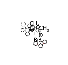 CC(C)(CCOCCP(Br)(c1ccccc1)(c1ccccc1)c1ccccc1)OCCC(C)(C)OC1=C(C2CCCCC2)C(=O)c2ccccc2C1=O